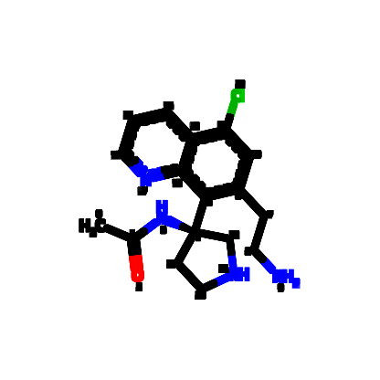 CC(=O)N[C@]1(c2c(CCN)cc(Cl)c3cccnc23)CCNC1